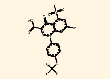 CS(=O)(=O)c1cc(Br)cc2c1c(=O)c(C(=O)O)nn2-c1ccc(OC(F)(F)F)cc1